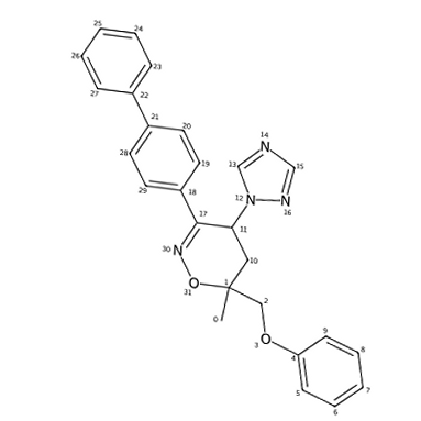 CC1(COc2ccccc2)CC(n2cncn2)C(c2ccc(-c3ccccc3)cc2)=NO1